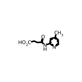 Cc1ccnc(NC(=O)CCC(=O)O)c1